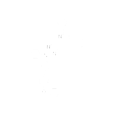 c1ccc(-c2cc(-c3ccccc3)nc(-c3cnc(-n4c5ccccc5c5cc(-c6ccc7oc8ccccc8c7c6)ccc54)nc3)c2)cc1